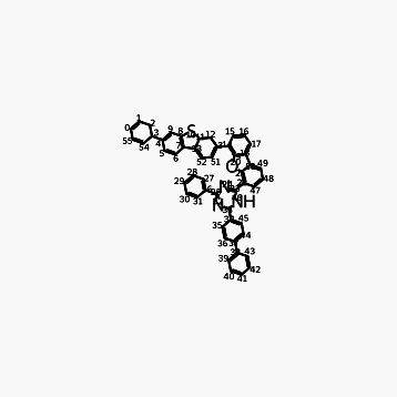 C1=CCC(c2ccc3c(c2)SC2CC(c4cccc5c4oc4c(C6=NC(c7ccccc7)=NC(c7ccc(-c8ccccc8)cc7)N6)cccc45)=CC=C32)C=C1